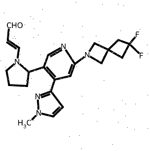 Cn1ccc(-c2cc(N3CC4(C3)CC(F)(F)C4)ncc2C2CCCN2C=CC=O)n1